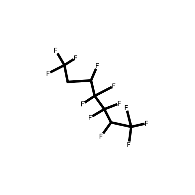 FC(CC(F)(F)F)C(F)(F)C(F)(F)C(F)C(F)(F)F